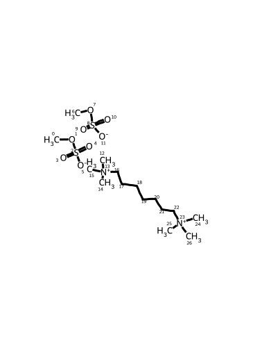 COS(=O)(=O)[O-].COS(=O)(=O)[O-].C[N+](C)(C)CCCCCCC[N+](C)(C)C